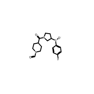 O=CN1CCC(C(=O)N2CCC([S+]([O-])c3ccc(F)cc3)C2)CC1